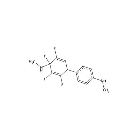 CNc1ccc(C2C=C(F)C(F)(NC)C(F)=C2F)cc1